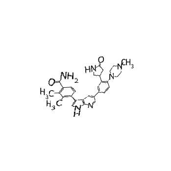 Cc1c(C(N)=O)ccc(-c2c[nH]c3ncc(-c4ccc(N5CCN(C)CC5)c(C5CNC(=O)C5)c4)cc23)c1C